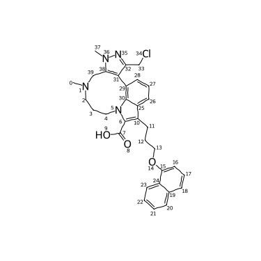 CN1CCCn2c(C(=O)O)c(CCCOc3cccc4ccccc34)c3cccc(c32)-c2c(CCl)nn(C)c2C1